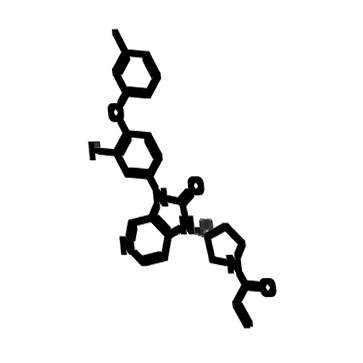 C=CC(=O)N1CC[C@@H](n2c(=O)n(-c3ccc(Oc4cccc(C)c4)c(F)c3)c3cnccc32)C1